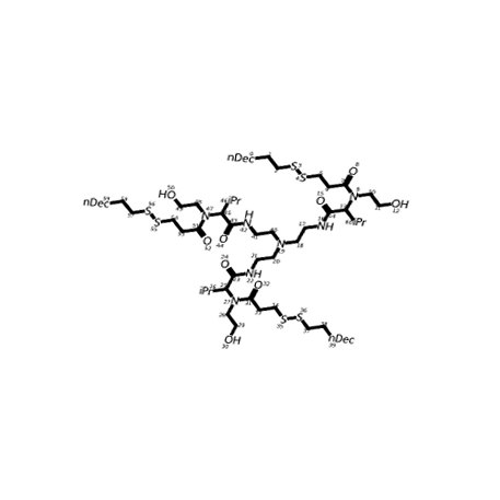 CCCCCCCCCCCCSSCCC(=O)N(CCO)C(C(=O)NCCN(CCNC(=O)C(C(C)C)N(CCO)C(=O)CCSSCCCCCCCCCCCC)CCNC(=O)C(C(C)C)N(CCO)C(=O)CCSSCCCCCCCCCCCC)C(C)C